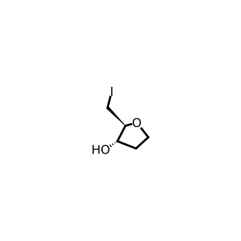 O[C@H]1CCO[C@@H]1CI